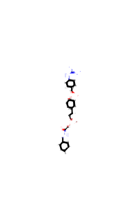 N=C(N)Nc1ccc(C(=O)Oc2ccc(C=CC(=O)OCC(=O)NCc3ccccc3)cc2)cc1